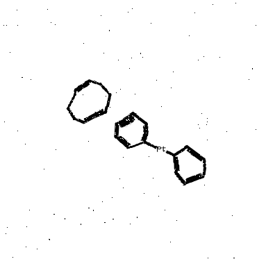 C1=C\CC/C=C\CC/1.c1cc[c]([Pt][c]2ccccc2)cc1